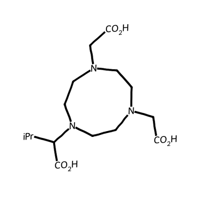 CC(C)C(C(=O)O)N1CCN(CC(=O)O)CCN(CC(=O)O)CC1